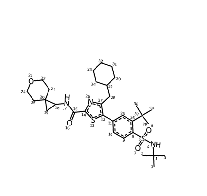 CC(C)(C)NS(=O)(=O)c1ccc(-c2sc(C(=O)NC3CC34CCOCC4)nc2CC2CCCCC2)cc1C(C)(C)C